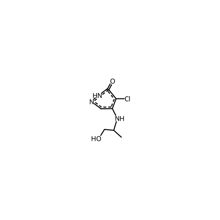 CC(CO)Nc1cn[nH]c(=O)c1Cl